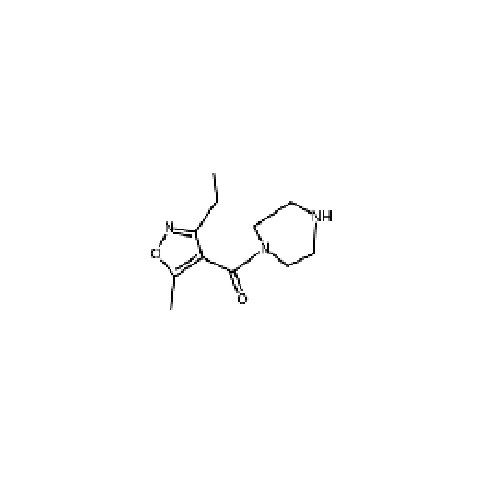 CCc1noc(C)c1C(=O)N1CCNCC1